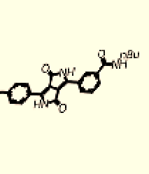 CCCCNC(=O)c1cccc(C2=C3C(=O)NC(c4ccc(Cl)cc4)=C3C(=O)N2)c1